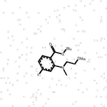 COCCN(C)c1cc(F)ccc1C(=O)OC(C)(C)C